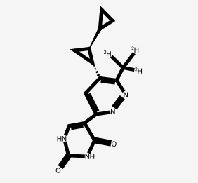 [2H]C([2H])([2H])c1nnc(-c2c[nH]c(=O)[nH]c2=O)cc1[C@@H]1C[C@H]1C1CC1